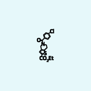 CCOC(=O)c1cc2c(s1)CCN(C(=O)c1ccc(Cl)cc1)C2